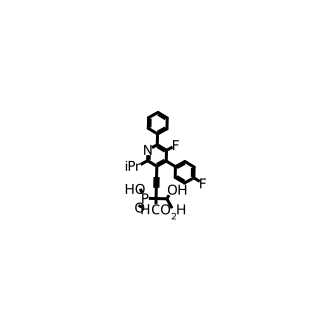 CC(C)c1nc(-c2ccccc2)c(F)c(-c2ccc(F)cc2)c1C#CC(C(=O)O)(C(C)O)[PH](=O)O